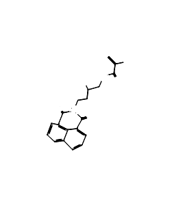 C=C(C)C(=O)OCC(O)CCN1C(=O)c2cccc3cccc(c23)C1=O